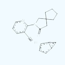 C#Cc1cccnc1N1CC2(CCCC2)CC1=O.c1cc2cc-2c1